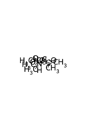 CCC(C)C(C)(NC(=O)Cc1c(C)cc(OC)cc1C)C(=O)OC